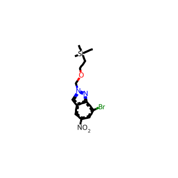 C[Si](C)(C)CCOCn1cc2cc([N+](=O)[O-])cc(Br)c2n1